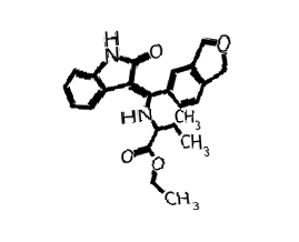 CCOC(=O)C(NC(=C1C(=O)Nc2ccccc21)c1ccc2c(c1)COC2)C(C)C